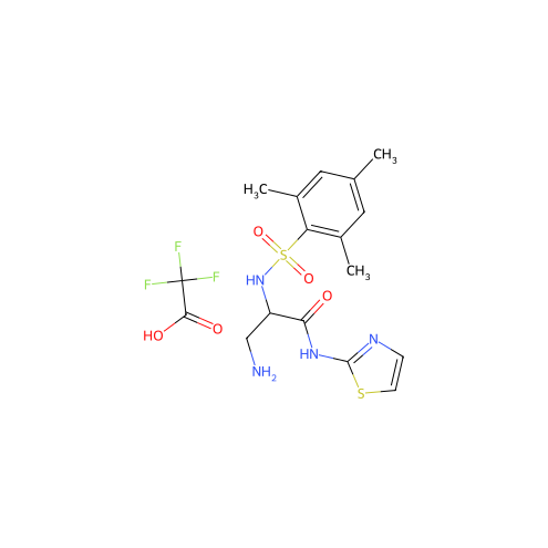 Cc1cc(C)c(S(=O)(=O)NC(CN)C(=O)Nc2nccs2)c(C)c1.O=C(O)C(F)(F)F